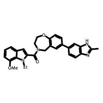 CCn1c(C(=O)N2CCOc3ccc(-c4ccc5nc(C)[nH]c5c4)cc3C2)cc2cccc(OC)c21